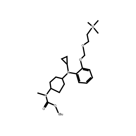 CN(C(=O)OC(C)(C)C)C1CCC(N(c2ccccc2OCOCC[Si](C)(C)C)C2CC2)CC1